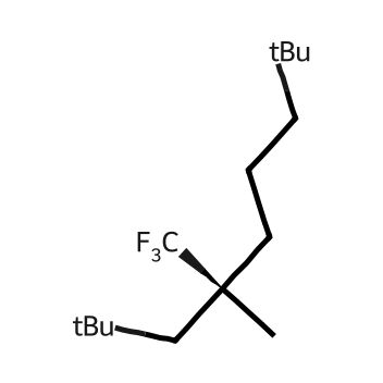 CC(C)(C)CCC[C@](C)(CC(C)(C)C)C(F)(F)F